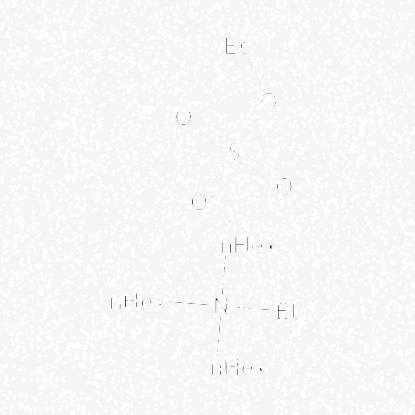 CCCCCC[N+](CC)(CCCCCC)CCCCCC.CCOS(=O)(=O)[O-]